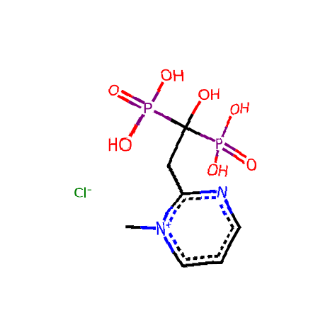 C[n+]1cccnc1CC(O)(P(=O)(O)O)P(=O)(O)O.[Cl-]